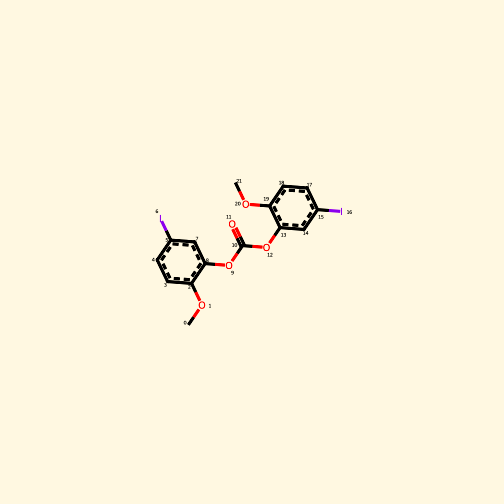 COc1ccc(I)cc1OC(=O)Oc1cc(I)ccc1OC